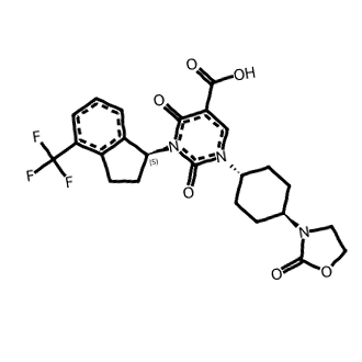 O=C(O)c1cn([C@H]2CC[C@H](N3CCOC3=O)CC2)c(=O)n([C@H]2CCc3c2cccc3C(F)(F)F)c1=O